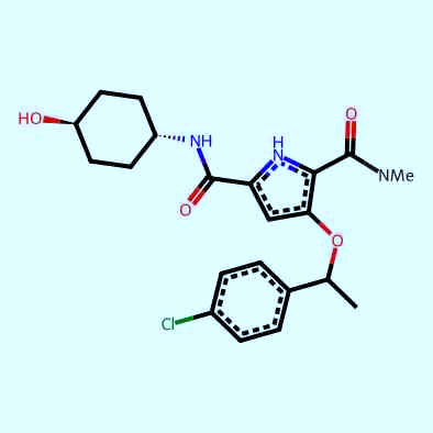 CNC(=O)c1[nH]c(C(=O)N[C@H]2CC[C@H](O)CC2)cc1OC(C)c1ccc(Cl)cc1